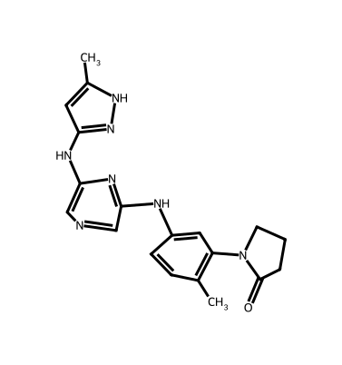 Cc1cc(Nc2cncc(Nc3ccc(C)c(N4CCCC4=O)c3)n2)n[nH]1